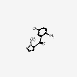 Cn1nccc1C(=O)c1cc(Cl)ccc1N